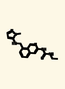 CCNC(=O)Nc1cc2cccc(CNc3ccnn3C)c2cn1